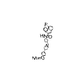 COc1ccc(C2CCN(CC3CCC(NC(=O)C4=Cc5cccc(F)c5OC4)C3)CC2)cc1